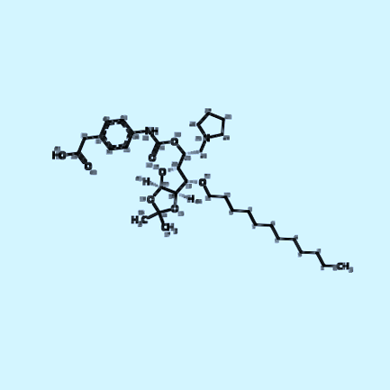 CCCCCCCCCCCCO[C@@H]1[C@H]2OC(C)(C)O[C@H]2O[C@@H]1[C@@H](CN1CCCC1)OC(=O)Nc1ccc(CC(=O)O)cc1